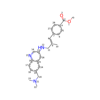 COC(=O)c1ccc(C=C(C)CNc2cnc3ccc(CN(C)C)cc3c2)cc1